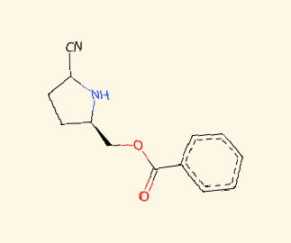 N#CC1CC[C@H](COC(=O)c2ccccc2)N1